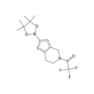 CC1(C)OB(c2cc3c(s2)CCN(C(=O)C(F)(F)F)C3)OC1(C)C